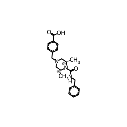 C[C@@H]1CN(Cc2ccc(C(=O)O)cc2)C[C@H](C)N1C(=O)NCc1ccccc1